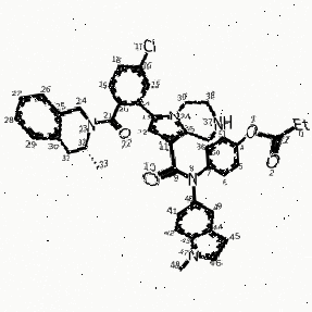 CCC(=O)Oc1ccc(N(C(=O)c2cc(-c3cc(Cl)ccc3C(=O)N3Cc4ccccc4C[C@H]3C)n3c2CNCC3)c2ccc3c(ccn3C)c2)cc1